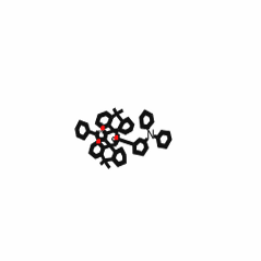 CC1(C)c2ccccc2C2(c3ccccc31)c1cc(-c3cccc(N(c4ccccc4)c4ccccc4)c3)sc1C1(c3ccccc3C(C)(C)c3ccccc31)c1cc(-c3ccccc3)sc12